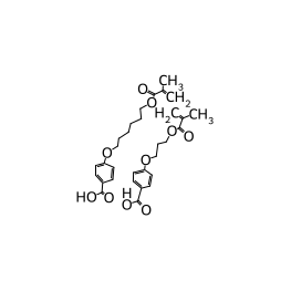 C=C(C)C(=O)OCCCCCCOc1ccc(C(=O)O)cc1.C=C(C)C(=O)OCCCOc1ccc(C(=O)O)cc1